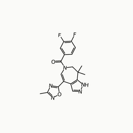 Cc1noc(C2=CN(C(=O)c3ccc(F)c(F)c3)CC(C)(C)c3[nH]ncc32)n1